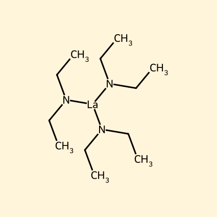 CC[N](CC)[La]([N](CC)CC)[N](CC)CC